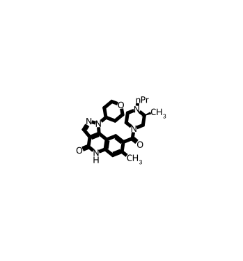 CCCN1CCN(C(=O)c2cc3c(cc2C)[nH]c(=O)c2cnn(C4CCOCC4)c23)C[C@@H]1C